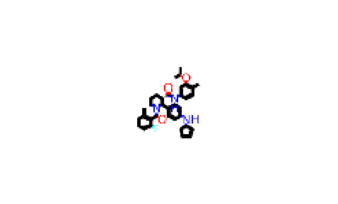 Cc1ccc(NC(=O)[C@H]2CCCN(C(=O)c3c(C)cccc3F)C2c2ccc(NC3CCCC3)cc2)cc1OC(C)C